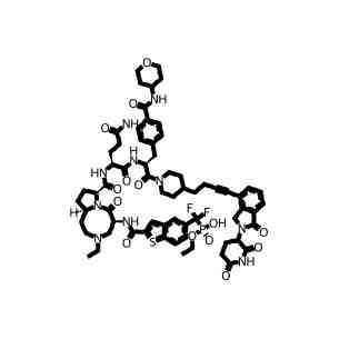 CCOP(=O)(O)C(F)(F)c1ccc2sc(C(=O)N[C@H]3CN(CC)CC[C@H]4CC[C@@H](C(=O)N[C@@H](CCC(N)=O)C(=O)N[C@@H](Cc5ccc(C(=O)NC6CCOCC6)cc5)C(=O)N5CCC(CCC#Cc6cccc7c6CN(C6CCC(=O)NC6=O)C7=O)CC5)N4C3=O)cc2c1